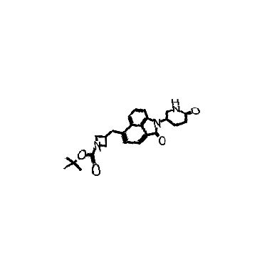 CC(C)(C)OC(=O)N1CC(Cc2ccc3c4c(cccc24)N(C2CCC(=O)NC2)C3=O)C1